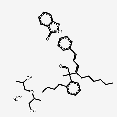 CC(O)COC(C)CO.CCCCCCC(=CC=Cc1ccccc1)C(C)(C=O)c1ccccc1CCCC.O=c1[nH]sc2ccccc12.[Na+].[OH-]